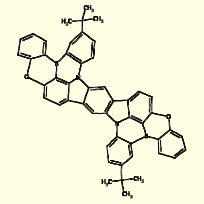 CC(C)(C)c1ccc2c(c1)B1c3ccccc3Oc3ccc4c5cc6c(cc5n-2c4c31)c1ccc2c3c1n6-c1ccc(C(C)(C)C)cc1B3c1ccccc1O2